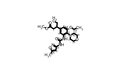 CCC(CC(=O)OC)c1ccc(N2CCOC[C@H]2C(C)C)c(NC(=O)Nc2cc(C)on2)c1